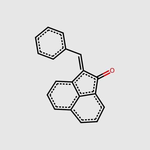 O=c1/c(=C/c2ccccc2)c2cccc3cccc1c32